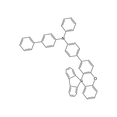 c1ccc(-c2ccc(N(c3ccccc3)c3ccc(-c4ccc5c(c4)[Si]4(c6ccccc6O5)c5ccccc5-c5ccccc54)cc3)cc2)cc1